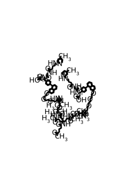 CNC(=O)CCC(CCC(=O)NC(C)(C)COC(C)(C)c1cn(CCOCCOCCOc2ccc3cccc(-c4ccc([C@H](CC(=O)O)NC(=O)CNC(=O)CCCNc5cc(C)ccn5)cc4)c3c2)nn1)(CCC(=O)NC(C)(C)COC(C)(C)c1nn[nH]c1CCOCCOCCOc1ccc2cccc(-c3ccc([C@H](CC(=O)O)NC(=O)CNC(=O)CCCNc4cc(C)ccn4)cc3)c2c1)NC(=O)CCCC(C)=O